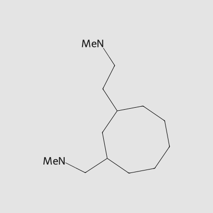 CNCCC1CCCCCC(CNC)C1